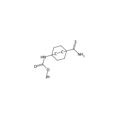 CC(C)OC(=O)NC12CCC(C(N)=S)(CC1)CC2